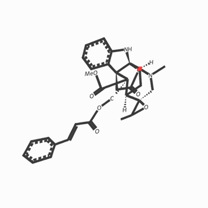 COC(=O)[C@]1(COC(=O)/C=C/c2ccccc2)[C@H]2C[C@H](N(C)C[C@@]23OC3C)[C@@]23Nc4ccccc4[C@]21CC(=O)O3